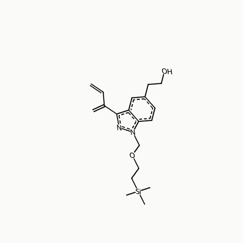 C=CC(=C)c1nn(COCC[Si](C)(C)C)c2ccc(CCO)cc12